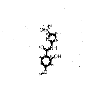 COc1ccc(C(=O)Nc2nc([S+](C)[O-])cs2)c(O)c1